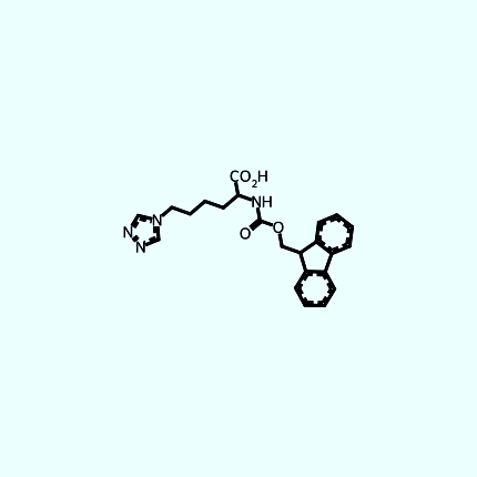 O=C(NC(CCCCn1cnnc1)C(=O)O)OCC1c2ccccc2-c2ccccc21